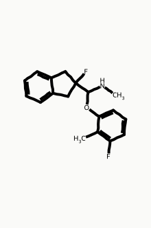 CNC(Oc1cccc(F)c1C)C1(F)Cc2ccccc2C1